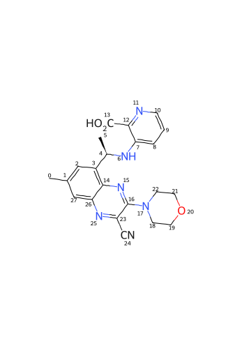 Cc1cc([C@@H](C)Nc2cccnc2C(=O)O)c2nc(N3CCOCC3)c(C#N)nc2c1